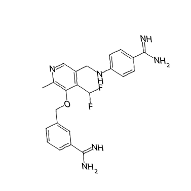 Cc1ncc(CNc2ccc(C(=N)N)cc2)c(C(F)F)c1OCc1cccc(C(=N)N)c1